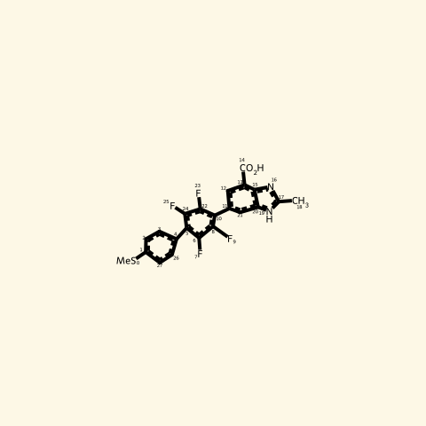 CSc1ccc(-c2c(F)c(F)c(-c3cc(C(=O)O)c4nc(C)[nH]c4c3)c(F)c2F)cc1